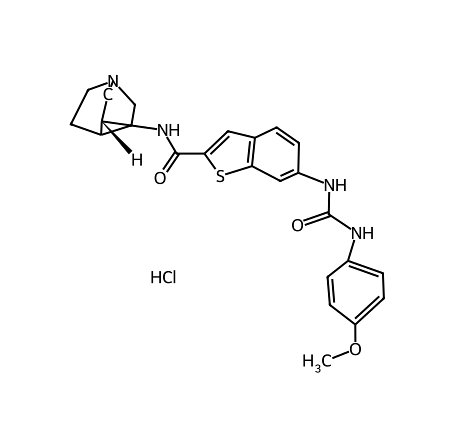 COc1ccc(NC(=O)Nc2ccc3cc(C(=O)N[C@H]4CN5CCC4CC5)sc3c2)cc1.Cl